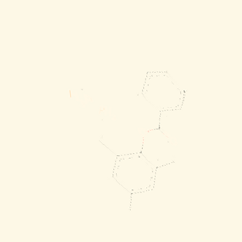 Cc1cc(C)c(OC(=O)c2ccccc2)c(C)c1.P.P